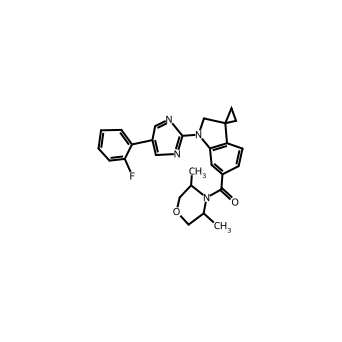 CC1COCC(C)N1C(=O)c1ccc2c(c1)N(c1ncc(-c3ccccc3F)cn1)CC21CC1